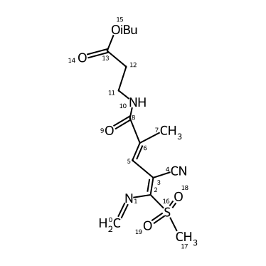 C=N/C(=C(C#N)\C=C(/C)C(=O)NCCC(=O)OCC(C)C)S(C)(=O)=O